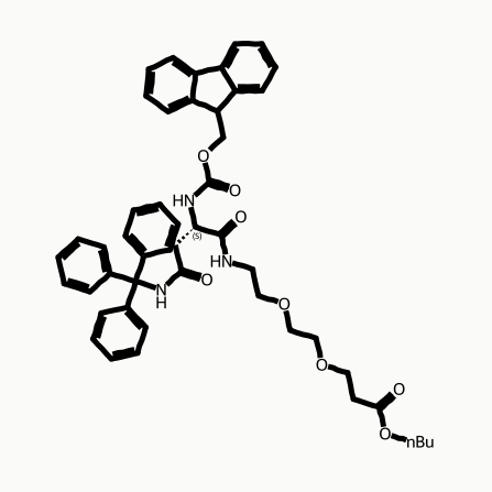 CCCCOC(=O)CCOCCOCCNC(=O)[C@H](CC(=O)NC(c1ccccc1)(c1ccccc1)c1ccccc1)NC(=O)OCC1c2ccccc2-c2ccccc21